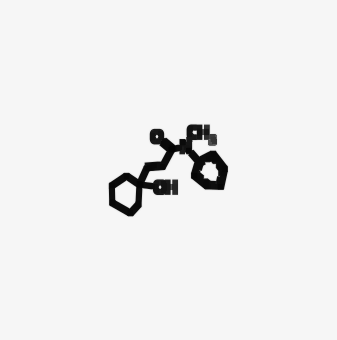 CN(C(=O)C=CC1(O)CCCCC1)c1ccccc1